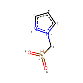 O=[SH](=O)Cn1cccn1